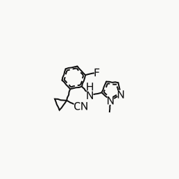 Cn1nccc1Nc1c(F)cccc1C1(C#N)CC1